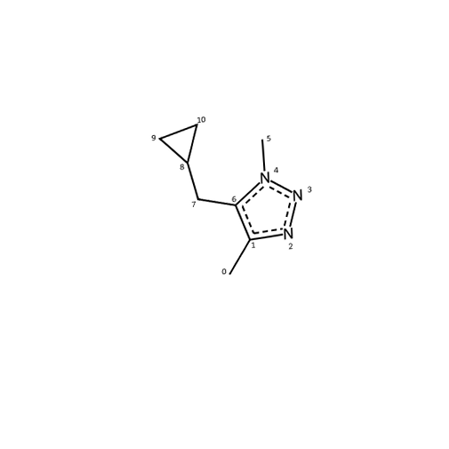 Cc1nnn(C)c1CC1CC1